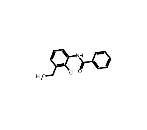 CCc1cccc(NC(=O)c2ccccc2)c1Cl